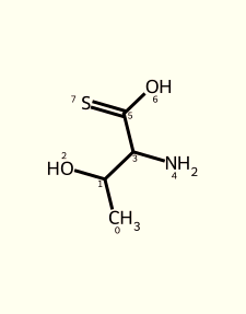 CC(O)C(N)C(O)=S